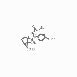 CCOC(=O)C1C2CCC(C(=O)OCC)(C(=O)N(NC(=O)OC(C)(C)C)c3ccc(OC)cc3)C21C